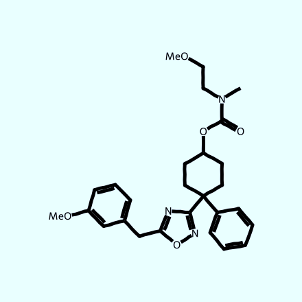 COCCN(C)C(=O)OC1CCC(c2ccccc2)(c2noc(Cc3cccc(OC)c3)n2)CC1